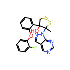 CC1(n2ncc3cncnc32)SSCC1(O)c1ccccc1Oc1ccccc1F